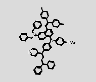 COc1ccc(N(c2ccc(/C(=C/C=C(c3ccccc3)c3ccccc3)c3ccncc3)cc2)c2ccc(C=C(c3ccc(C)cc3)c3ccc(C)cc3)c3cc(N(Cc4ccccc4)Cc4ccccc4)ccc23)cc1